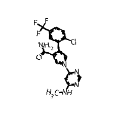 CNc1cc(-n2cc(C(N)=O)c(-c3cc(C(F)(F)F)ccc3Cl)c2)ncn1